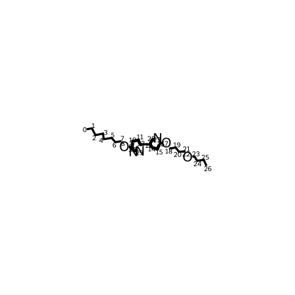 CCCCCCCCOc1ccc(-c2ccc(OCCCCOCCCC)nc2)nn1